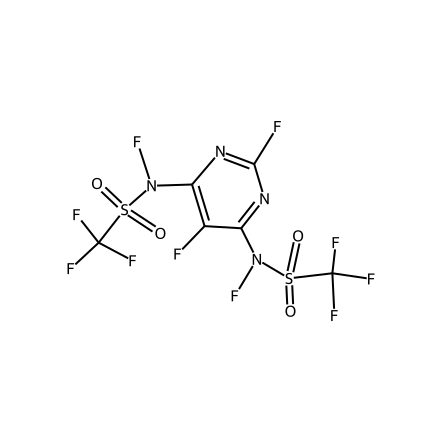 O=S(=O)(N(F)c1nc(F)nc(N(F)S(=O)(=O)C(F)(F)F)c1F)C(F)(F)F